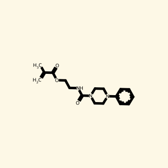 C=C(C)C(=O)OCCNC(=O)N1CCN(c2cc[c]cc2)CC1